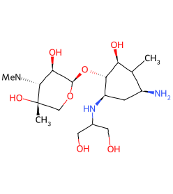 CN[C@@H]1[C@@H](O)[C@@H](O[C@H]2[C@H](NC(CO)CO)C[C@H](N)C(C)[C@@H]2O)OC[C@]1(C)O